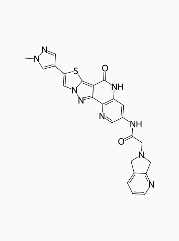 Cn1cc(-c2cn3nc4c5ncc(NC(=O)CN6Cc7cccnc7C6)cc5[nH]c(=O)c4c3s2)cn1